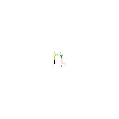 BCl.CS